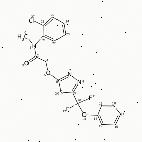 CN(C(=O)COc1nnc(C(F)(F)Oc2ccccc2)s1)c1ccccc1Cl